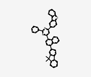 CC1(C)c2ccccc2-c2ccc(-c3ccc(-c4cc(-c5ccc6sc7ccccc7c6c5)nc(-c5ccccc5)n4)c4ccccc34)cc21